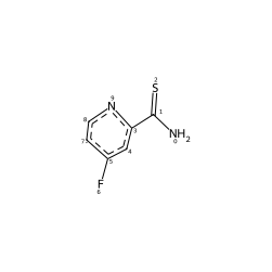 NC(=S)c1cc(F)[c]cn1